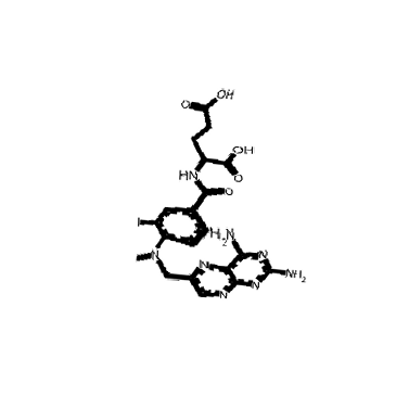 CN(Cc1cnc2nc(N)nc(N)c2n1)c1ccc(C(=O)NC(CCC(=O)O)C(=O)O)cc1I